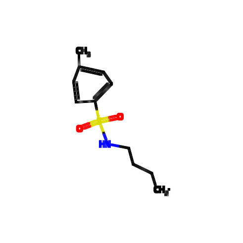 [CH2]CCCNS(=O)(=O)c1ccc(C)cc1